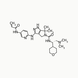 C=CC(=O)Nc1ccc(Nc2n[nH]c3c2CN(C(=O)N[C@H](CN(C)C)C2CCOCC2)C3(C)C)nc1